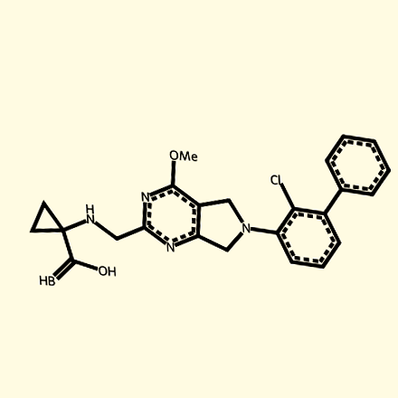 B=C(O)C1(NCc2nc3c(c(OC)n2)CN(c2cccc(-c4ccccc4)c2Cl)C3)CC1